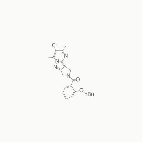 CCCCOc1ccccc1C(=O)N1Cc2nn3c(C)c(Cl)c(C)nc3c2C1